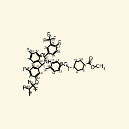 COC(=O)[C@H]1CC[C@H](COc2ccc(C[C@@](NC(=O)c3ccc(F)c(C(F)(F)F)c3)(c3ccc(F)cc3)c3cc(F)cc(OC(F)(F)C(F)F)c3)cc2)CC1